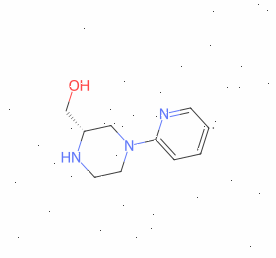 OC[C@@H]1CN(c2cc[c]cn2)CCN1